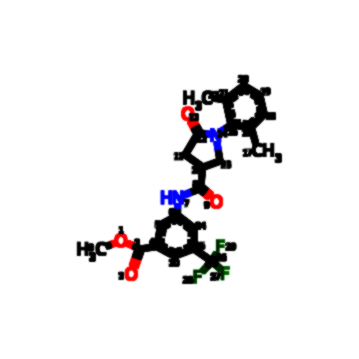 COC(=O)c1cc(NC(=O)C2CC(=O)N(c3c(C)cccc3C)C2)cc(C(F)(F)F)c1